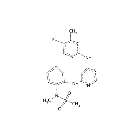 Cc1cc(Nc2cc(Nc3ccccc3N(C)S(C)(=O)=O)ncn2)ncc1F